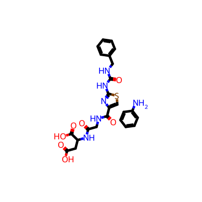 Nc1ccccc1.O=C(O)CC(NC(=O)CNC(=O)c1csc(NC(=O)NCc2ccccc2)n1)C(=O)O